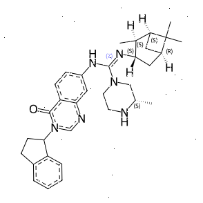 C[C@@H]1[C@@H](/N=C(/Nc2ccc3c(=O)n(C4CCc5ccccc54)cnc3c2)N2CCN[C@@H](C)C2)C[C@H]2C[C@@H]1C2(C)C